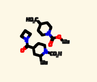 CC(C)(C)C1CC(C(=O)N2CCC2)CCN1C(=O)O.CC(C)(C)OC(=O)N1CCC(C(=O)O)CC1